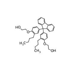 CCCCc1cc(C2(c3ccc(OCCO)c(CCCC)c3)c3ccccc3-c3ccccc32)ccc1OCCO